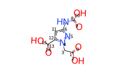 O=C(O)Cn1nc(NC(=O)O)cc1C(=O)O